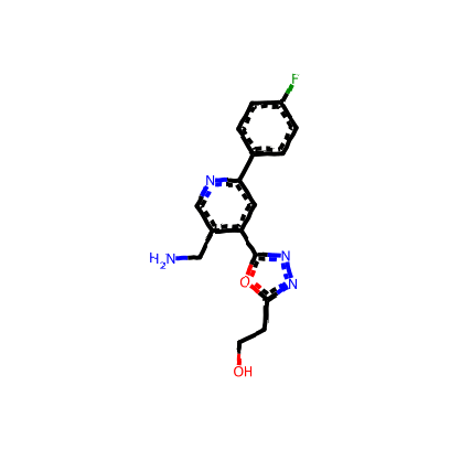 NCc1cnc(-c2ccc(F)cc2)cc1-c1nnc(CCO)o1